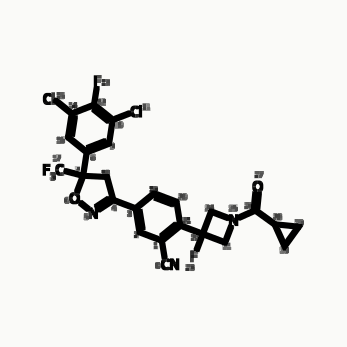 N#Cc1cc(C2=NOC(c3cc(Cl)c(F)c(Cl)c3)(C(F)(F)F)C2)ccc1C1(F)CN(C(=O)C2CC2)C1